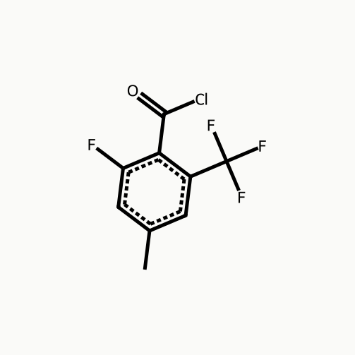 Cc1cc(F)c(C(=O)Cl)c(C(F)(F)F)c1